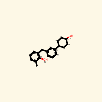 Cc1cccc(Cc2cccc(C3CCC(O)CC3)c2)c1O